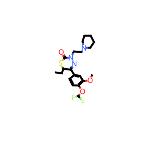 CCC1SC(=O)N(CCN2CCCCC2)N=C1c1ccc(OC(F)F)c(OC)c1